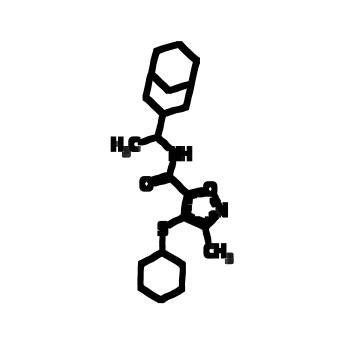 Cc1noc(C(=O)NC(C)C2CC3CCCC(C3)C2)c1SC1CCCCC1